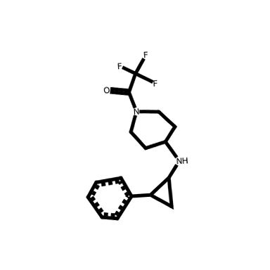 O=C(N1CCC(NC2CC2c2ccccc2)CC1)C(F)(F)F